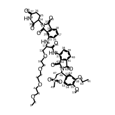 CCOCCOCCOCCOCC(Nc1cccc2c1C(=O)N(C1CCC(=O)NC1=O)C2=O)C(=O)Nc1cccc2c1C(=O)N([C@H](CS(C)(=O)=O)c1ccc(OC)c(OCC)c1)C2=O